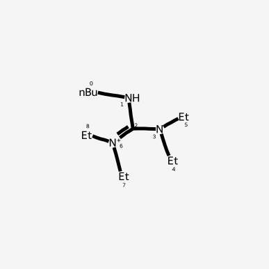 CCCCNC(N(CC)CC)=[N+](CC)CC